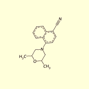 CC1CN(c2ccc(C#N)c3ccccc23)CC(C)O1